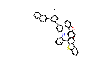 c1cc(-c2ccc(N(c3ccccc3-c3cccc4c3sc3ccccc34)c3cccc4oc5ccccc5c34)cc2)cc(-c2ccc3ccccc3c2)c1